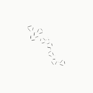 CC1(C)c2ccc(-c3ccc4c(c3)oc3c4ccc4oc5ccccc5c43)cc2-c2ccc(-c3c4ccccc4c(-c4ccccc4)c4ccccc34)cc21